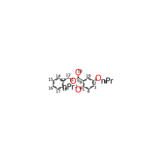 CCCOc1ccc(OCCC)c(C(=O)OCc2ccccc2)c1